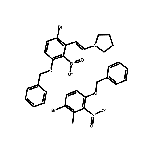 Cc1c(Br)ccc(OCc2ccccc2)c1[N+](=O)[O-].O=[N+]([O-])c1c(OCc2ccccc2)ccc(Br)c1/C=C/N1CCCC1